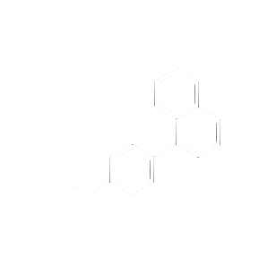 OBc1ccc(-c2cccc3ccccc23)cc1